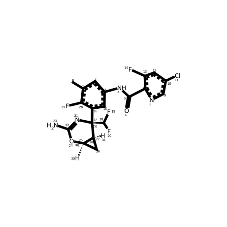 Cc1cc(NC(=O)c2ncc(Cl)cc2F)cc([C@@]2(C(F)F)N=C(N)O[C@@H]3C[C@@H]32)c1F